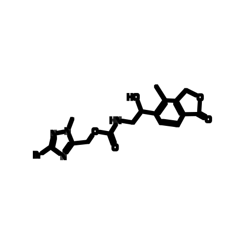 Cc1c(C(O)CNC(=O)OCc2nc(Br)nn2C)ccc2c1COC2=O